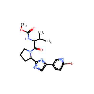 COC(=O)N[C@H](C(=O)N1CCCC1c1nc(-c2ccc(Br)nc2)c[nH]1)C(C)C